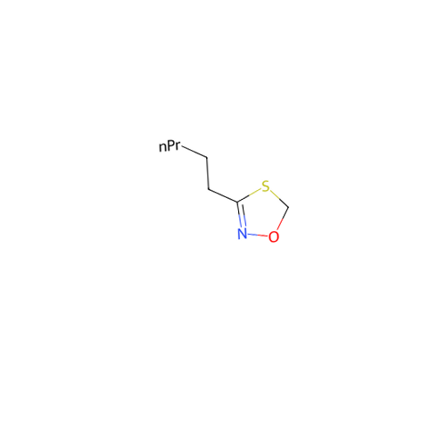 CCCCCC1=NOCS1